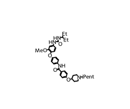 CCCC(C)N1CCC(Oc2ccc(C(=O)Nc3ccc(Oc4ccc(NC(=O)NC(CC)CC)cc4OC)cc3)cc2)CC1